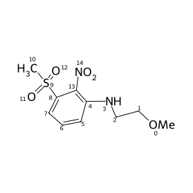 COCCNc1cccc(S(C)(=O)=O)c1[N+](=O)[O-]